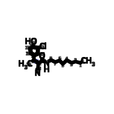 CCCCCCCCCNC(=O)/C(C#N)=C(/C)c1ccc(O)c(Cl)c1